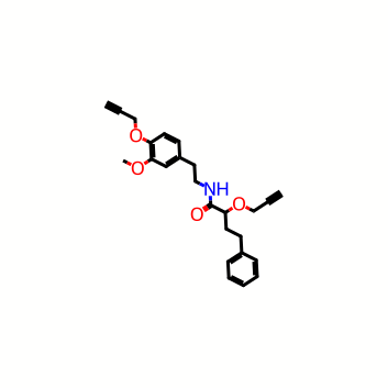 C#CCOc1ccc(CCNC(=O)C(CCc2ccccc2)OCC#C)cc1OC